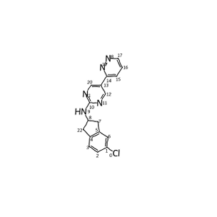 Clc1ccc2c(c1)CC(Nc1ncc(-c3cccnn3)cn1)C2